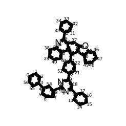 c1ccc(-c2cccc(-c3nc(-c4ccccc4)cc(-c4ccc(-c5c6c(cc7c(-c8ccccc8)nc8ccccc8c57)oc5ccccc56)cc4)n3)c2)cc1